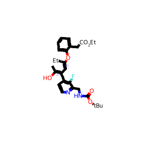 CCOC(=O)Cc1ccccc1O/C(=C/C(=C(\C)O)c1ccnc(CNC(=O)OC(C)(C)C)c1F)CC